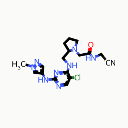 Cn1cc(Nc2ncc(Cl)c(NCC3CCCN3CC(=O)NCC#N)n2)cn1